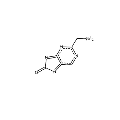 NCc1ncc2c(n1)=NC(=O)N=2